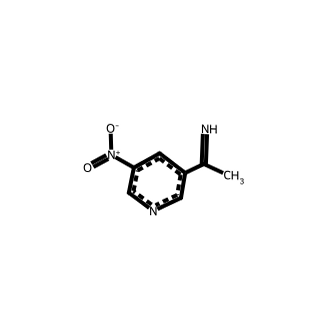 CC(=N)c1cncc([N+](=O)[O-])c1